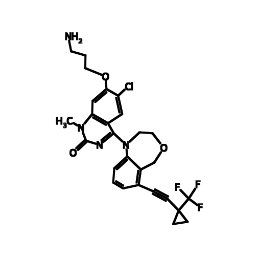 Cn1c(=O)nc(N2CCOCc3c(C#CC4(C(F)(F)F)CC4)cccc32)c2cc(Cl)c(OCCCN)cc21